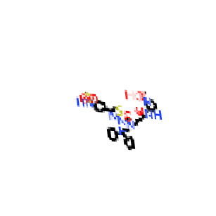 CB(O)N1CCC[C@@H](NC(=O)CCCN(CCC(c2ccccc2)c2ccccc2)C(=O)Nc2nc(-c3ccc(NS(C)(=O)=O)cc3)cs2)C1